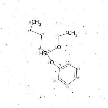 CCCC[SiH](OCC)Oc1ccccc1